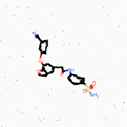 N#Cc1cccc(Oc2cc(CC(=O)Nc3ccc(S(N)(=O)=O)cc3)cc3ccoc23)c1